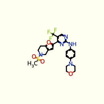 CS(=O)(=O)N1CCc2oc(-c3nc(Nc4ccc(N5CCOCC5)cc4)ncc3C(F)(F)F)cc2C1